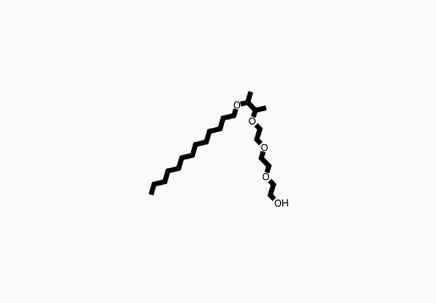 CCCCCCCCCCCCCOC(C)C(C)OCCOCCOCCO